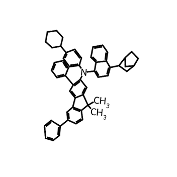 CC1(C)c2ccc(-c3ccccc3)cc2-c2cc(-c3ccccc3)c(N(c3ccc(C4CCCCC4)cc3)c3ccc(C4CC5CCC4C5)c4ccccc34)cc21